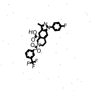 Cc1nn(-c2ccc(F)cc2)c2c1C[C@]1(C(=O)O)CN(S(=O)(=O)c3cccc(C(F)(F)F)c3)CCC1=C2